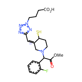 COC(=O)C(c1ccccc1F)N1CCC(S)/C(=C\c2nnn(CCCC(=O)O)n2)C1